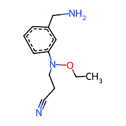 CCON(CCC#N)c1cccc(CN)c1